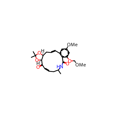 COCOc1cc(OC)cc2c1C(=O)NC(C)C/C=C\C(=O)[C@H]1OC(C)(C)O[C@H]1C/C=C/2